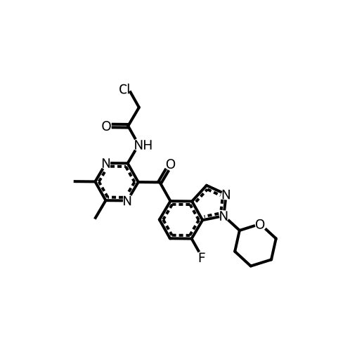 Cc1nc(NC(=O)CCl)c(C(=O)c2ccc(F)c3c2cnn3C2CCCCO2)nc1C